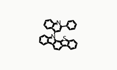 c1ccc(-c2cc(-n3c4ccccc4c4ccc5c6ccccc6sc5c43)c3ccccc3n2)cc1